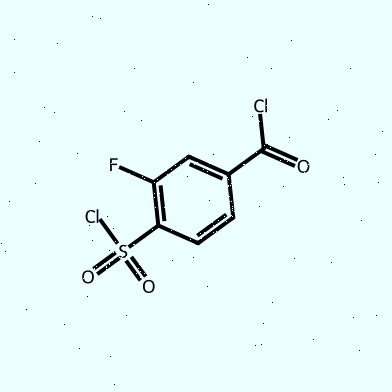 O=C(Cl)c1ccc(S(=O)(=O)Cl)c(F)c1